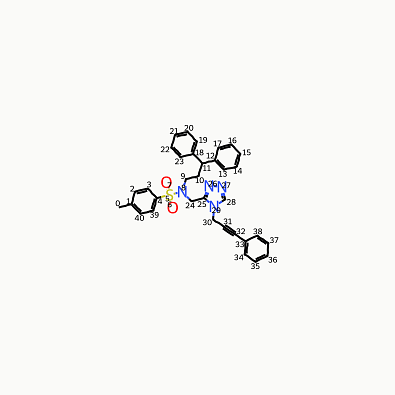 Cc1ccc(S(=O)(=O)N(CCC(c2ccccc2)c2ccccc2)Cc2nncn2CC#Cc2ccccc2)cc1